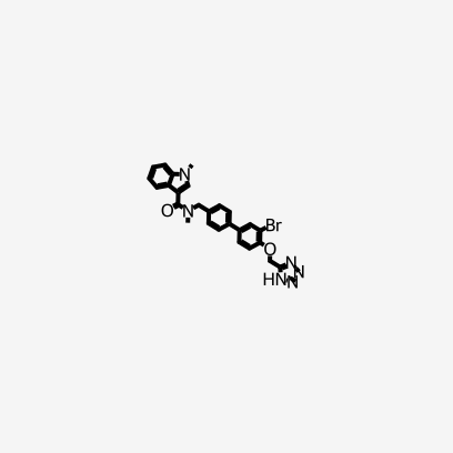 CN(Cc1ccc(-c2ccc(OCc3nnn[nH]3)c(Br)c2)cc1)C(=O)c1cn(C)c2ccccc12